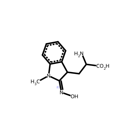 CN1/C(=N/O)C(CC(N)C(=O)O)c2ccccc21